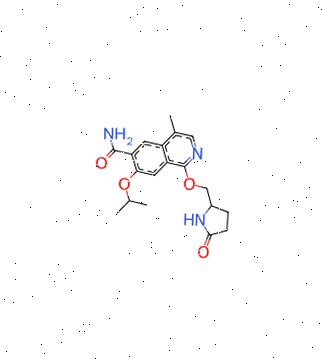 Cc1cnc(OCC2CCC(=O)N2)c2cc(OC(C)C)c(C(N)=O)cc12